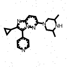 CC1CN(c2ccc3nc(C4CC4)c(-c4ccncc4)n3n2)CC(C)N1